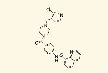 O=C(c1ccc(NSc2cccc3cccnc23)cc1)N1CCN(Cc2ccncc2Cl)CC1